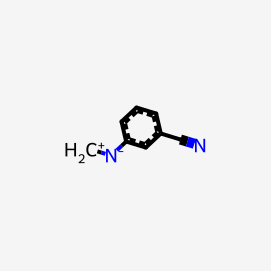 [CH2+][N-]c1cccc(C#N)c1